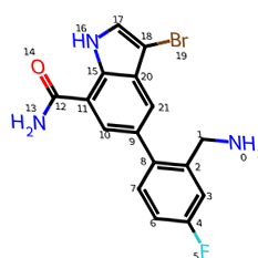 NCc1cc(F)ccc1-c1cc(C(N)=O)c2[nH]cc(Br)c2c1